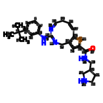 CC(C)(C)c1cccc(NC2=N/Cc3cc(C(=O)NCC4CCNC4)sc3/C=C\C/C=N\2)c1